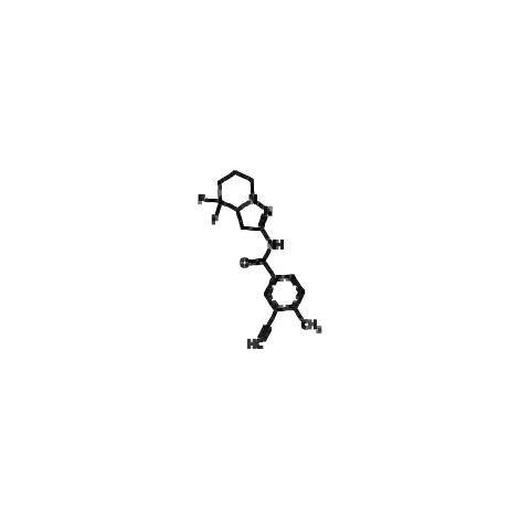 C#Cc1cc(C(=O)NC2=NN3CCCC(F)(F)C3C2)ccc1C